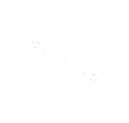 O=C(CCCCCCCCCCCCC(=O)Oc1ccccc1)Oc1ccccc1